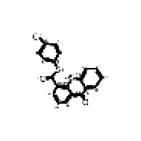 O=C(Sc1ccc(Cl)cc1)c1cccc2c(=O)c3ccccc3sc12